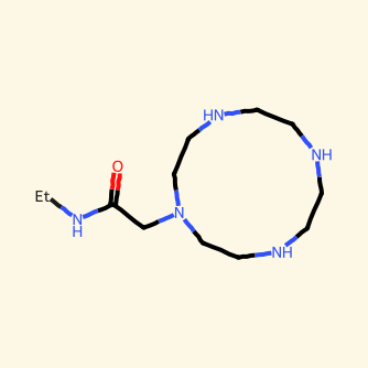 CCNC(=O)CN1CCNCCNCCNCC1